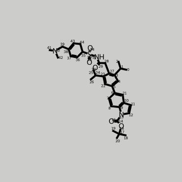 CC(C)c1cc(-c2ccc3c(ccn3C(=O)OC(C)(C)C)c2)cc(C(C)C)c1CC(=O)NS(=O)(=O)C1C=CC(CN(C)C)=CC1